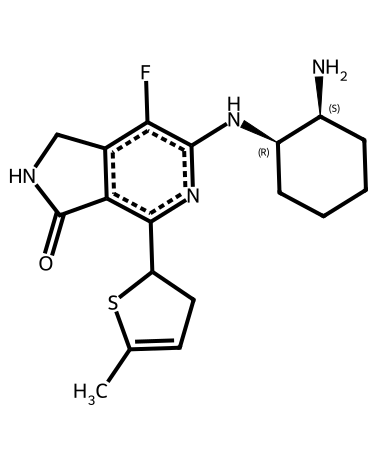 CC1=CCC(c2nc(N[C@@H]3CCCC[C@@H]3N)c(F)c3c2C(=O)NC3)S1